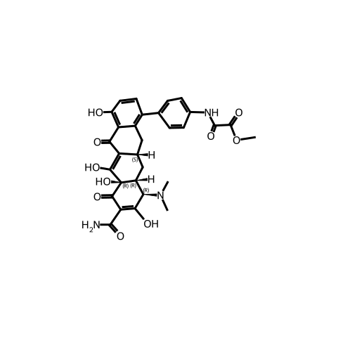 COC(=O)C(=O)Nc1ccc(-c2ccc(O)c3c2C[C@@H]2C[C@@H]4[C@@H](N(C)C)C(O)=C(C(N)=O)C(=O)[C@]4(O)C(O)=C2C3=O)cc1